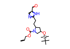 C=CCOC(=O)N1CC(O[Si](C)(C)C(C)(C)C)CC1CCc1ncc(C=O)[nH]1